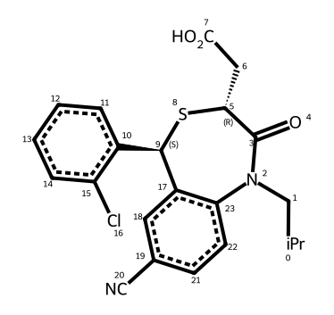 CC(C)CN1C(=O)[C@@H](CC(=O)O)S[C@H](c2ccccc2Cl)c2cc(C#N)ccc21